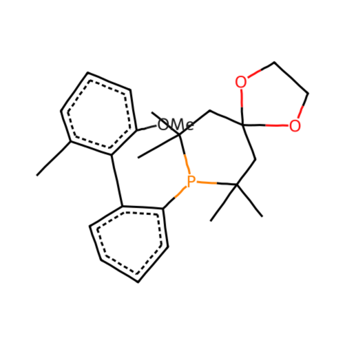 COc1cccc(C)c1-c1ccccc1P1C(C)(C)CC2(CC1(C)C)OCCO2